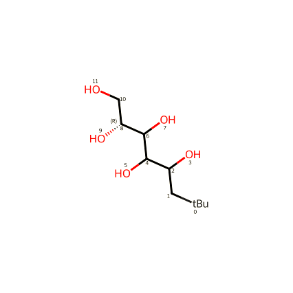 CC(C)(C)CC(O)C(O)C(O)[C@H](O)CO